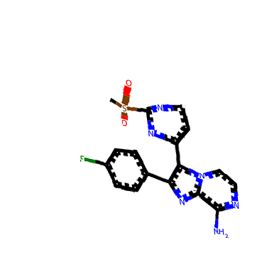 CS(=O)(=O)c1nccc(-c2c(-c3ccc(F)cc3)nc3c(N)nccn23)n1